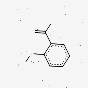 [O]C(=O)c1ccccc1OC(F)(F)F